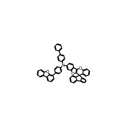 c1ccc(-c2ccc(N(c3ccc(-c4cccc5c4oc4ccccc45)cc3)c3ccc4c5c(oc4c3)C3(c4ccccc4O5)c4ccccc4-c4ccccc43)cc2)cc1